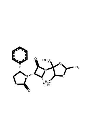 CCOC(=O)C1(N2C(=O)[C@@H](N3C(=O)OC[C@@H]3c3ccccc3)[C@H]2C=O)OC(C)OC1C